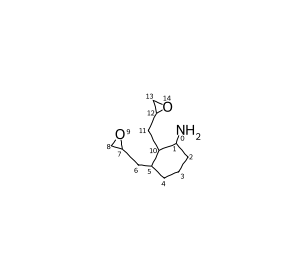 NC1CCCC(CC2CO2)C1CC1CO1